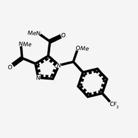 CNC(=O)c1ncn(C(OC)c2ccc(C(F)(F)F)cc2)c1C(=O)NC